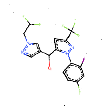 OC(c1cnn(CC(F)F)c1)c1cc(C(F)(F)F)nn1-c1ccc(F)cc1I